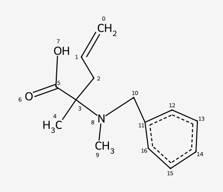 C=CCC(C)(C(=O)O)N(C)Cc1ccccc1